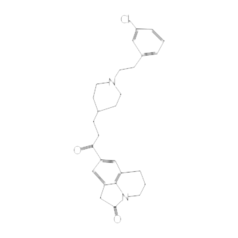 O=C(CCC1CCN(CCc2cccc(Cl)c2)CC1)c1cc2c3c(c1)CC(=O)N3CCC2